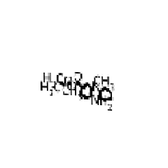 CN(c1cc(C(=O)OOC(C)(C)C)ccc1N)C1CCCCC1